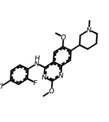 COc1nc(Nc2ccc(Cl)cc2F)c2cc(OC)c(C3CCCN(C)C3)cc2n1